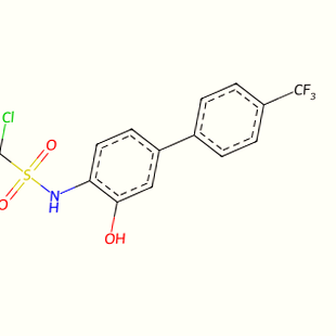 O=S(=O)(CCl)Nc1ccc(-c2ccc(C(F)(F)F)cc2)cc1O